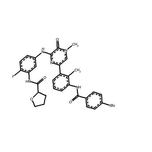 Cc1c(NC(=O)c2ccc(C(C)(C)C)cc2)cccc1-c1cn(C)c(=O)c(Nc2ccc(F)c(NC(=O)C3CCCO3)c2)n1